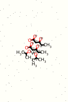 CC(C)[O][V+2][O]C(C)C.CCC(=O)CC(=O)[O-].CCC(=O)CC(=O)[O-]